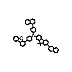 CC1(C)c2cc(-c3ccc4ccccc4c3)ccc2-c2ccc(N(c3ccc(-c4cccc5ccccc45)cc3)c3ccc(-c4cccc5c4oc4ccccc45)cc3)cc21